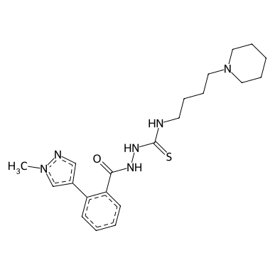 Cn1cc(-c2ccccc2C(=O)NNC(=S)NCCCCN2CCCCC2)cn1